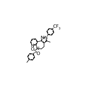 Cc1ccc(S(=O)(=O)N2CCc3c(nn(-c4ccc(C(F)(F)F)cc4)c3C)-c3cccnc32)cc1